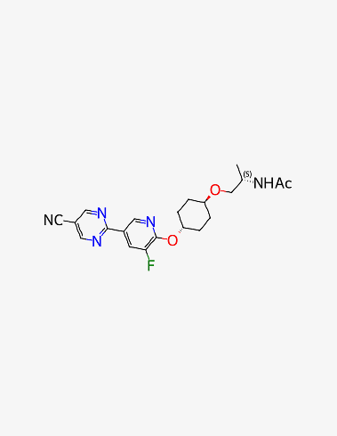 CC(=O)N[C@@H](C)CO[C@H]1CC[C@H](Oc2ncc(-c3ncc(C#N)cn3)cc2F)CC1